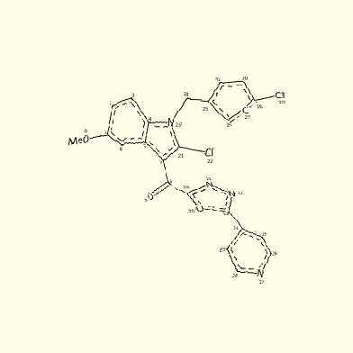 COc1ccc2c(c1)c(C(=O)c1nnc(-c3ccncc3)o1)c(Cl)n2Cc1ccc(Cl)cc1